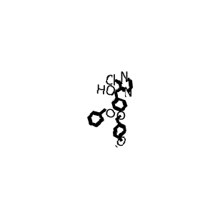 COc1ccc(COc2ccc(C(O)c3nccnc3Cl)cc2OCc2ccccc2)cc1